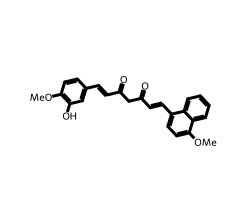 COc1ccc(C=CC(=O)CC(=O)C=Cc2ccc(OC)c3ccccc23)cc1O